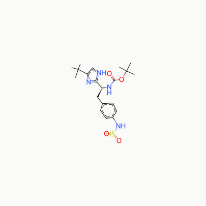 CC(C)(C)OC(=O)N[C@@H](Cc1ccc(N[SH](=O)=O)cc1)c1nc(C(C)(C)C)c[nH]1